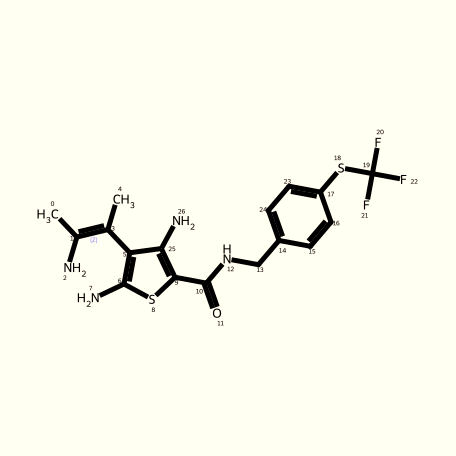 C/C(N)=C(\C)c1c(N)sc(C(=O)NCc2ccc(SC(F)(F)F)cc2)c1N